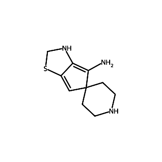 NC1=C2NCSC2=CC12CCNCC2